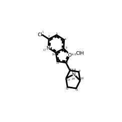 Cl.Clc1ccc2oc(C3CC4CCC3N4)cc2n1